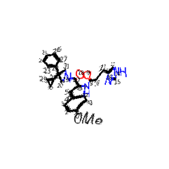 COc1ccc(CC(NC(=O)CCc2c[nH]cn2)C(=O)N2CC(c3ccccc3)(C3CC3)C2)cc1